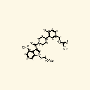 COCCn1cc(C(=O)N2CCC(c3cc(CNC(=O)C(F)(F)F)ccc3F)CC2)c2c(C=O)cccc21